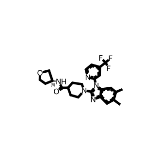 Cc1cc2nc(N3CCC(C(=O)N[C@@H]4CCOC4)CC3)n(-c3cc(C(F)(F)F)ccn3)c2cc1C